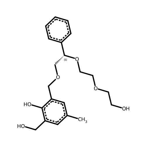 Cc1cc(CO)c(O)c(COC[C@@H](OCCOCCO)c2ccccc2)c1